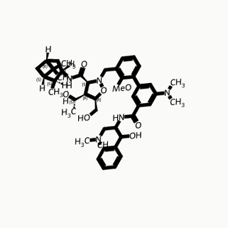 COc1c(CN2O[C@@H](CO)[C@@H]([C@H](C)O)[C@H]2C(=O)N[C@H]2C[C@H]3C[C@@H]([C@@H]2C)C3(C)C)cccc1-c1cc(C(=O)NC(CN(C)C)C(O)c2ccccc2)cc(N(C)C)c1